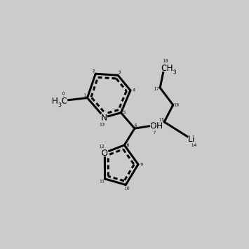 Cc1cccc(C(O)c2ccco2)n1.[Li][CH2]CCC